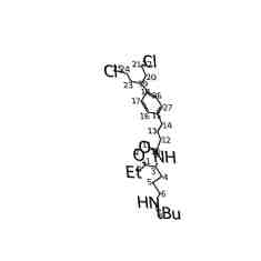 CCC(=O)C(CCCNC(C)(C)C)NC(=O)CCCc1ccc(C(CCCl)CCCl)cc1